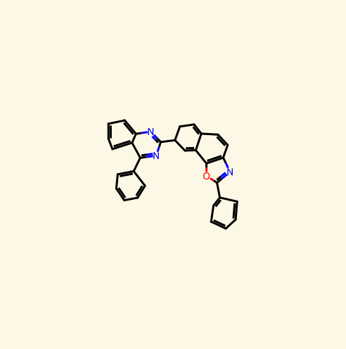 C1=c2ccc3nc(-c4ccccc4)oc3c2=CC(c2nc(-c3ccccc3)c3ccccc3n2)C1